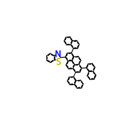 c1ccc2c(-c3cc(-c4nc5ccccc5s4)c4ccc5c(-c6cccc7ccccc67)cc(-c6cccc7ccccc67)c6ccc3c4c56)cccc2c1